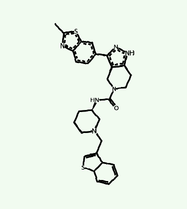 Cc1nc2ccc(-c3n[nH]c4c3CN(C(=O)N[C@@H]3CCCN(CC5=CSC6C=CC=CC56)C3)CC4)cc2s1